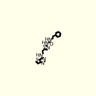 O=C(NCCc1ccccc1)Nc1ncc(CCNc2ncnc3ccsc23)s1